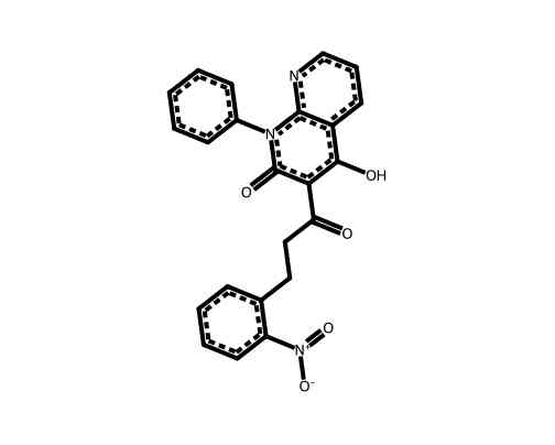 O=C(CCc1ccccc1[N+](=O)[O-])c1c(O)c2cccnc2n(-c2ccccc2)c1=O